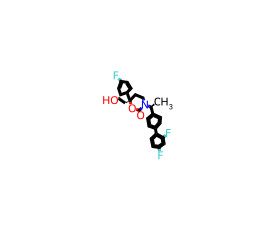 C[C@@H](c1ccc(-c2ccc(F)cc2F)cc1)N1CC[C@](CCO)(C2C=CC(F)=CC2)OC1=O